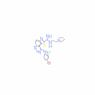 N=C(NCCN1CCCC1)c1nc2ccc3ncnc(Nc4ccc(Br)cc4F)c3c2s1